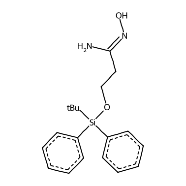 CC(C)(C)[Si](OCC/C(N)=N/O)(c1ccccc1)c1ccccc1